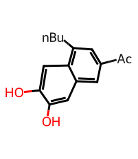 CCCCc1cc(C(C)=O)cc2cc(O)c(O)cc12